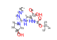 [C-]#[N+]/N=C(\NC[C@H](NC(=O)OC(C)(C)C)C(=O)O)N1CC[C@H](O)C1